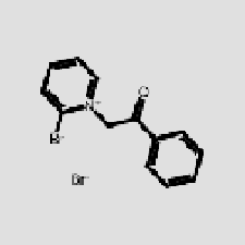 O=C(C[n+]1ccccc1Br)c1ccccc1.[Br-]